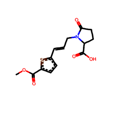 COC(=O)c1ccc(C=CCN2C(=O)CCC2C(=O)O)s1